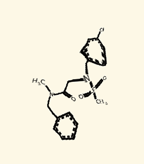 CN(Cc1ccccc1)C(=O)CN(c1ccc(Cl)cc1)S(C)(=O)=O